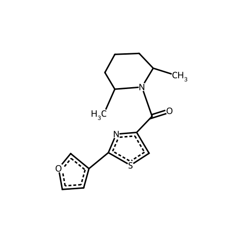 CC1CCCC(C)N1C(=O)c1csc(-c2ccoc2)n1